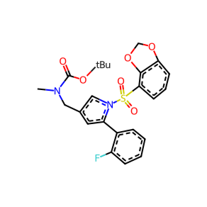 CN(Cc1cc(-c2ccccc2F)n(S(=O)(=O)c2cccc3c2OCO3)c1)C(=O)OC(C)(C)C